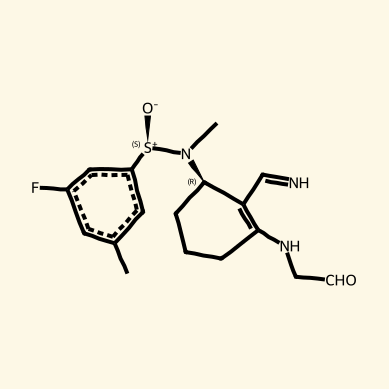 Cc1cc(F)cc([S@@+]([O-])N(C)[C@@H]2CCCC(NCC=O)=C2C=N)c1